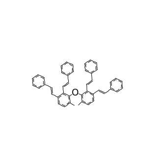 Cc1ccc(C=Cc2ccccc2)c(C=Cc2ccccc2)c1Oc1c(C)ccc(C=Cc2ccccc2)c1C=Cc1ccccc1